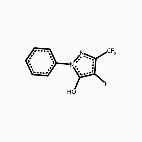 Oc1c(F)c(C(F)(F)F)nn1-c1ccccc1